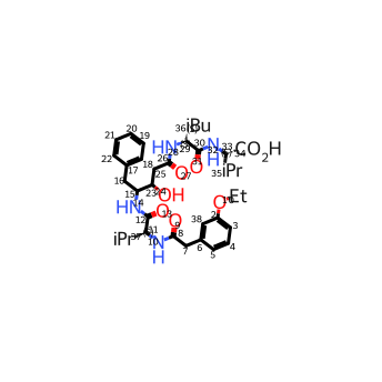 CCOc1cccc(CC(=O)N[C@H](C(=O)NC(Cc2ccccc2)C(O)CC(=O)N[C@H](C(=O)N[C@H](C(=O)O)C(C)C)[C@@H](C)CC)C(C)C)c1